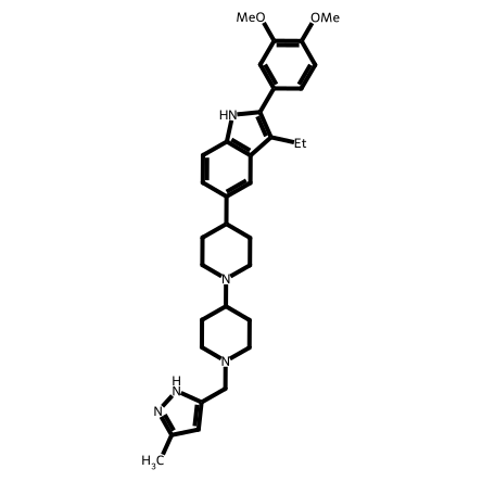 CCc1c(-c2ccc(OC)c(OC)c2)[nH]c2ccc(C3CCN(C4CCN(Cc5cc(C)n[nH]5)CC4)CC3)cc12